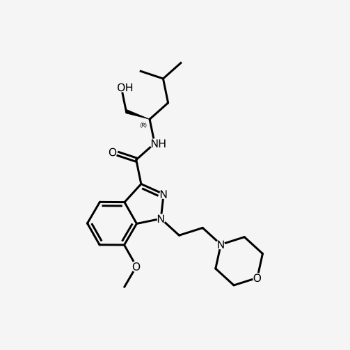 COc1cccc2c(C(=O)N[C@@H](CO)CC(C)C)nn(CCN3CCOCC3)c12